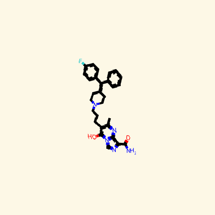 Cc1nc2c(C(N)=O)ncn2c(O)c1CCCN1CCC(=C(c2ccccc2)c2ccc(F)cc2)CC1